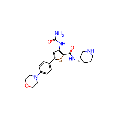 NC(=O)Nc1cc(-c2ccc(N3CCOCC3)cc2)sc1C(=O)N[C@H]1CCCNC1